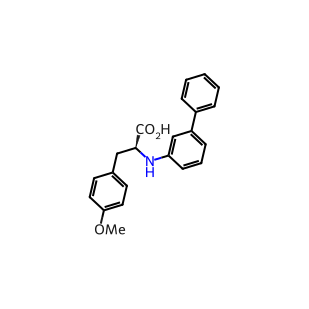 COc1ccc(C[C@H](Nc2cccc(-c3ccccc3)c2)C(=O)O)cc1